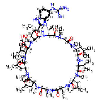 CC[C@@H]1NC(=O)[C@H]([C@H](O)[C@H](C)Cc2nc3cc(NC(=N)N)ccc3[nH]2)N(C)C(=O)[C@H](C(C)C)N(C)C(=O)[C@H](CC(C)C)N(C)C(=O)[C@H](CC(C)C)N(C)C(=O)[C@@H](C)NC(=O)[C@H](C)NC(=O)[C@H](CC(C)C)N(C)C(=O)[C@H](C(C)C)NC(=O)[C@H](CC(C)C)N(C)C(=O)CN(C)C1=O